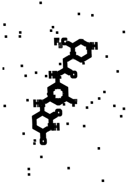 O=C1CCC(Nc2cc(F)cc(NC(=O)CN3CCNCC3C(F)(F)F)c2)C(=O)N1